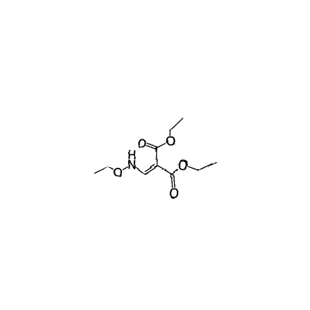 CCONC=C(C(=O)OCC)C(=O)OCC